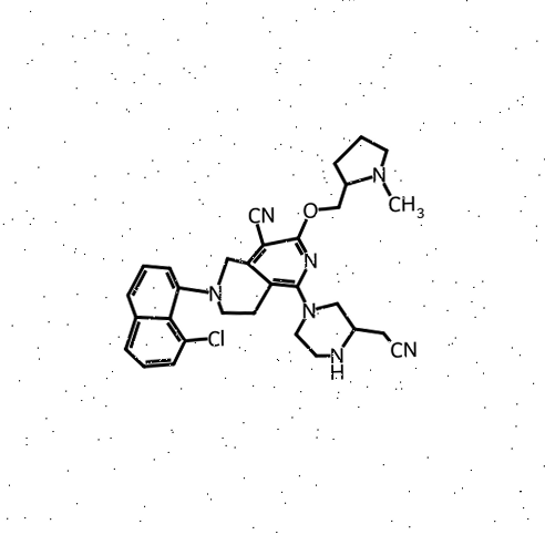 CN1CCCC1COc1nc(N2CCNC(CC#N)C2)c2c(c1C#N)CN(c1cccc3cccc(Cl)c13)CC2